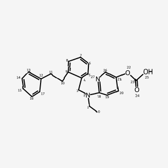 CCN(Cc1ccccc1CCc1ccccc1)c1ccc(OC(=O)O)cn1